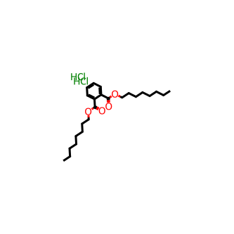 CCCCCCCCOC(=O)c1ccccc1C(=O)OCCCCCCCC.Cl.Cl